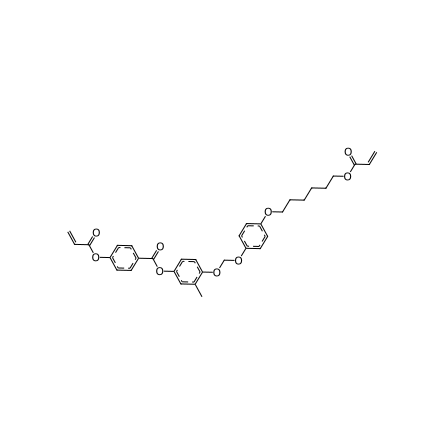 C=CC(=O)OCCCCCCOc1ccc(OCOc2ccc(OC(=O)c3ccc(OC(=O)C=C)cc3)cc2C)cc1